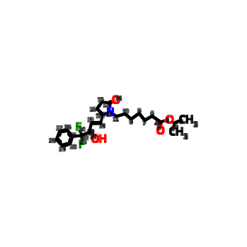 CC(C)OC(=O)CCCCCCN1C(=O)CC[C@@H]1C=C[C@@H](O)C(F)(F)c1ccccc1